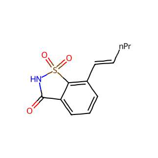 CCCC=Cc1cccc2c1S(=O)(=O)NC2=O